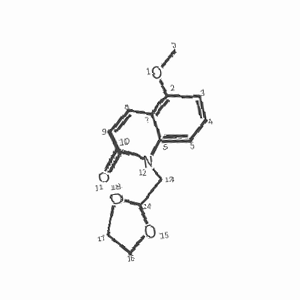 COc1cccc2c1ccc(=O)n2CC1OCCO1